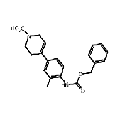 Cc1cc(C2=CCN(C(=O)O)CC2)ccc1NC(=O)OCc1ccccc1